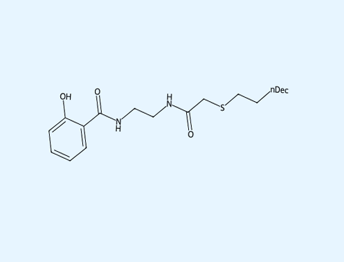 CCCCCCCCCCCCSCC(=O)NCCNC(=O)c1ccccc1O